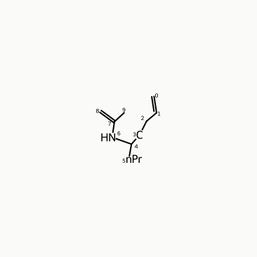 C=CCCC(CCC)NC(=C)C